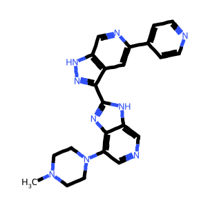 CN1CCN(c2cncc3[nH]c(-c4n[nH]c5cnc(-c6ccncc6)cc45)nc23)CC1